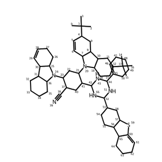 CC(C)(C)C1C=CC2C(C1)C1CC(C(C)(C)C)CCC1N2C1CC(N2C3CCC=CC3C3CCCCC32)C(C#N)CC1C1NC(C2=CCCCC2)NC(C2CCC3C(C2)SC2=CCCCC23)N1